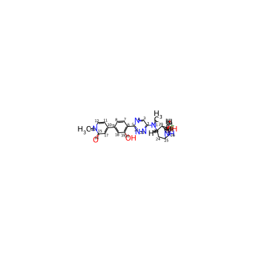 CN(c1cnc(-c2ccc(-c3ccn(C)c(=O)c3)cc2O)nn1)[C@H]1CC2C[C@@H](F)C1[C@H](O)N2